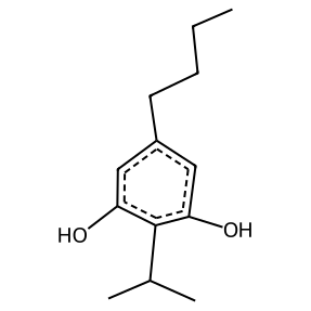 CCCCc1cc(O)c(C(C)C)c(O)c1